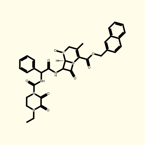 CCN1CCN(C(=O)NC(C(=O)NC2C(=O)N3C(C(=O)OCc4ccc5ccccc5c4)=C(C)C[S+]([O-])[C@H]23)c2ccccc2)C(=O)C1=O